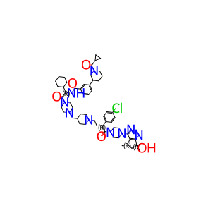 C[C@@H]1C[C@@H](O)c2ncnc(N3CCN(C(=O)[C@H](CCN4CCC(CN5CCN(C(=O)[C@H](NC(=O)c6cccc(C7CCCN(C(=O)C8CC8)C7)c6)C6CCCCC6)CC5)CC4)c4ccc(Cl)cc4)CC3)c21